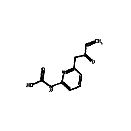 C=CC(=O)Cc1cccc(NC(=O)O)n1